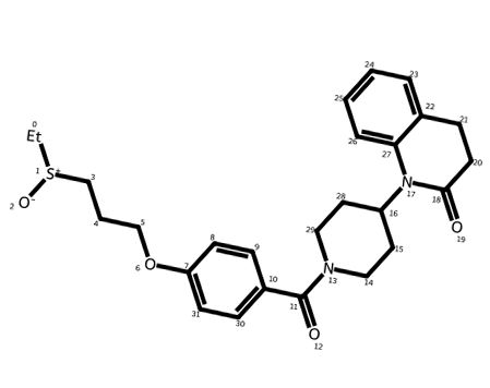 CC[S+]([O-])CCCOc1ccc(C(=O)N2CCC(N3C(=O)CCc4ccccc43)CC2)cc1